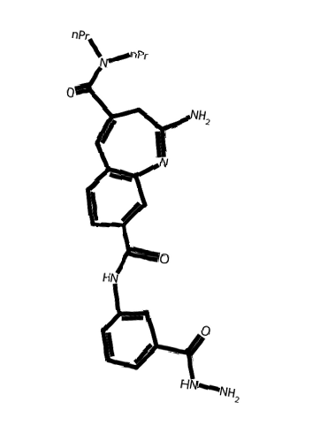 CCCN(CCC)C(=O)C1=Cc2ccc(C(=O)Nc3cccc(C(=O)NN)c3)cc2N=C(N)C1